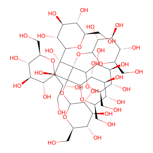 OC[C@@H](O)[C@@H](O)[C@@](O)(C1O[C@H](CO)[C@@H](O)[C@H](O)[C@H]1O)[C@@](OC1O[C@H](CO)[C@@H](O)[C@H](O)[C@H]1O)(C1O[C@H](CO)[C@@H](O)[C@H](O)[C@H]1O)C(OC1O[C@H](CO)[C@@H](O)[C@H](O)[C@H]1O)(C1O[C@H](CO)[C@@H](O)[C@H](O)[C@H]1O)C1O[C@H](CO)[C@@H](O)[C@H](O)[C@H]1O